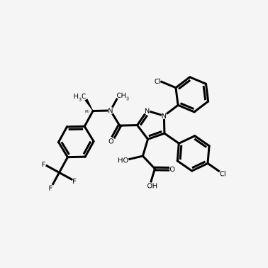 C[C@H](c1ccc(C(F)(F)F)cc1)N(C)C(=O)c1nn(-c2ccccc2Cl)c(-c2ccc(Cl)cc2)c1C(O)C(=O)O